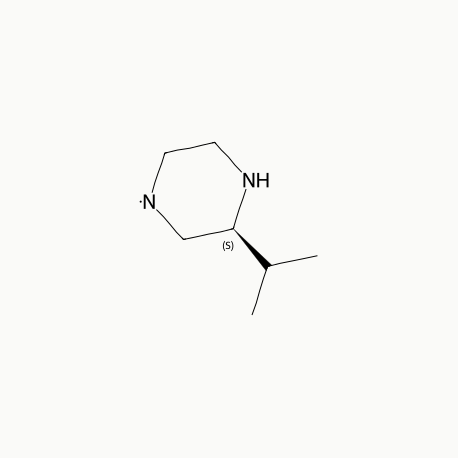 CC(C)[C@H]1C[N]CCN1